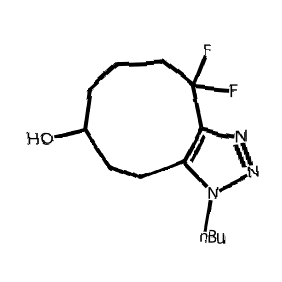 CCCCn1nnc2c1CCC(O)CCCC2(F)F